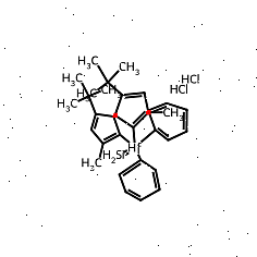 CC1=[C]([Hf](=[SiH2])([C]2=C(C)C=C(C(C)(C)C)C2)([c]2ccccc2)[c]2ccccc2)CC(C(C)(C)C)=C1.Cl.Cl